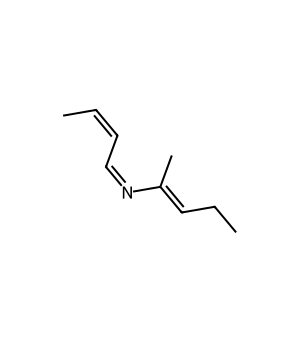 C\C=C/C=N\C(C)=C\CC